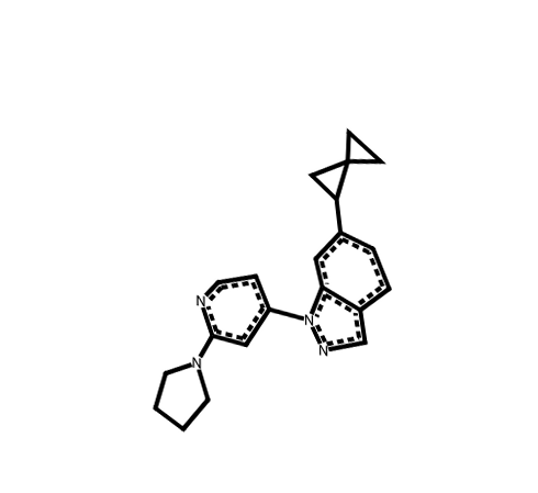 c1cc(-n2ncc3ccc(C4CC45CC5)cc32)cc(N2CCCC2)n1